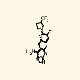 Cc1nc2ncnn2c(N)c1Cc1ccc(Br)c(N2CCC(C(F)(F)F)C2)n1